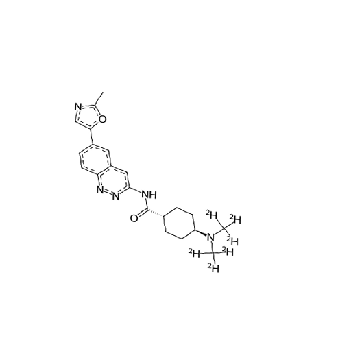 [2H]C([2H])([2H])N([C@H]1CC[C@H](C(=O)Nc2cc3cc(-c4cnc(C)o4)ccc3nn2)CC1)C([2H])([2H])[2H]